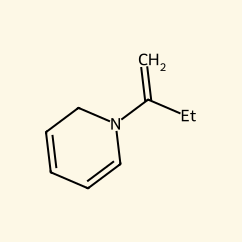 C=C(CC)N1C=CC=CC1